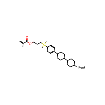 C=C(C)C(=O)OCCCS(C)(C)c1ccc(C2CCC(C3CCC(CCCCC)CC3)CC2)cc1